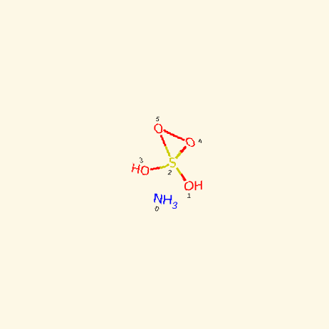 N.OS1(O)OO1